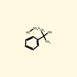 CC(C)(O)c1ccccc1.O=S(=O)(O)O